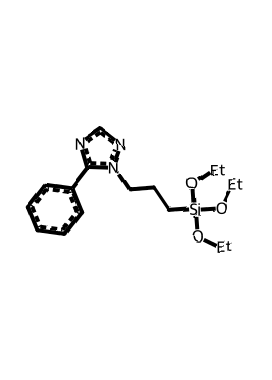 CCO[Si](CCCn1ncnc1-c1ccccc1)(OCC)OCC